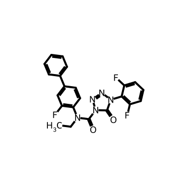 CCN(C(=O)n1nnn(-c2c(F)cccc2F)c1=O)c1ccc(-c2ccccc2)cc1F